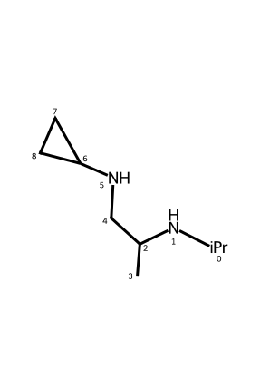 CC(C)NC(C)CNC1CC1